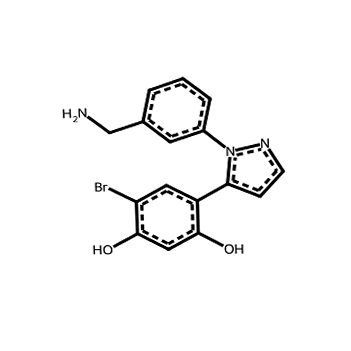 NCc1cccc(-n2nccc2-c2cc(Br)c(O)cc2O)c1